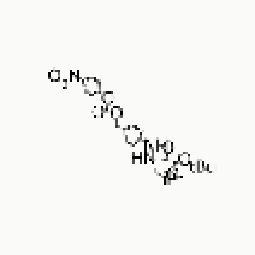 CC(C)C[C@H](NNc1ccc(COC(=O)Oc2ccc([N+](=O)[O-])cc2)cc1)C(=O)C(=O)OC(C)(C)C